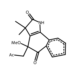 COC1(CC(C)=O)C(=O)c2ccccc2C2=C1C(C)(C)C(=O)N2